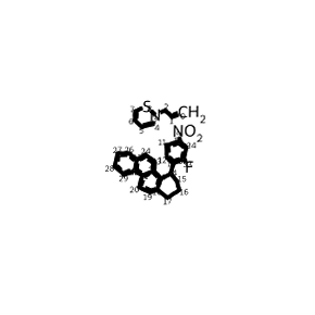 C=CCN1C=CC=CS1.O=[N+]([O-])c1ccc(C2CCCc3ccc4c(ccc5ccccc54)c32)c(F)c1